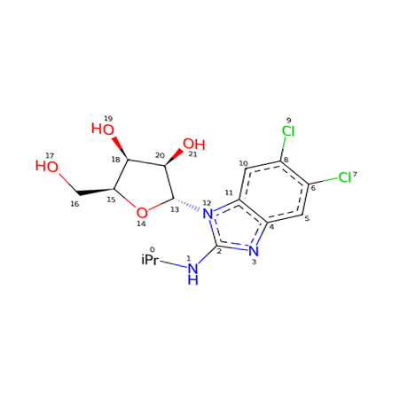 CC(C)Nc1nc2cc(Cl)c(Cl)cc2n1[C@@H]1O[C@@H](CO)[C@@H](O)[C@H]1O